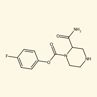 NC(=O)C1CNCCN1C(=O)Oc1ccc(F)cc1